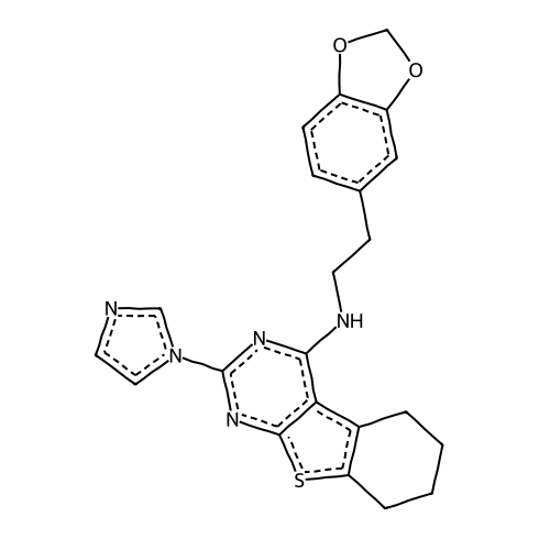 c1cn(-c2nc(NCCc3ccc4c(c3)OCO4)c3c4c(sc3n2)CCCC4)cn1